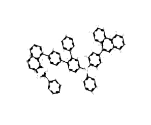 c1ccc(-c2nc3ccc4cccc(-c5ccc(-c6ccc(N(c7ccccc7)c7ccc(-c8cc9ccccc9c9ccccc89)cc7)cc6-c6ccccc6)cc5)c4c3o2)cc1